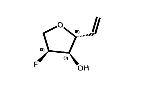 C=C[C@H]1OC[C@H](F)[C@@H]1O